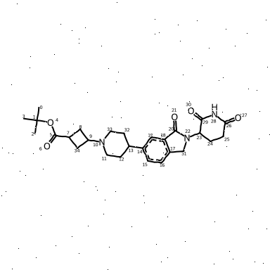 CC(C)(C)OC(=O)C1CC(N2CCC(c3ccc4c(c3)C(=O)N(C3CCC(=O)NC3=O)C4)CC2)C1